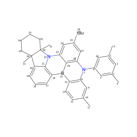 Cc1cc(C)cc(N2c3cc(C)ccc3B3c4cccc5c4N(c4cc(C(C)(C)C)cc2c43)C2(C)CCCCC52C)c1